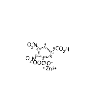 O=C(O)c1ccc([N+](=O)[O-])c([N+](=O)[O-])c1.O=C([O-])[O-].[Zn+2]